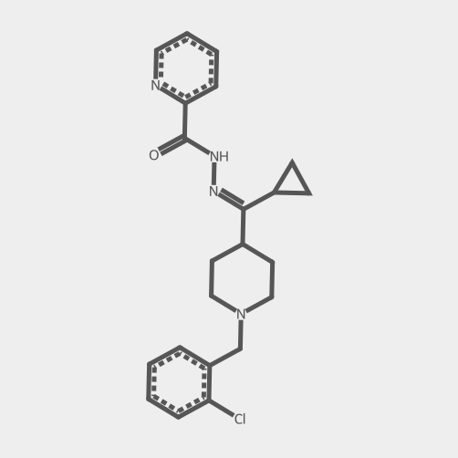 O=C(NN=C(C1CC1)C1CCN(Cc2ccccc2Cl)CC1)c1ccccn1